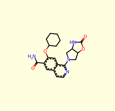 NC(=O)c1cc2ccnc(N3CC4NC(=O)OC4C3)c2cc1OC1CCCCC1